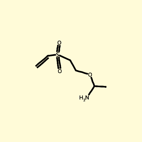 C=CS(=O)(=O)CCOC(C)N